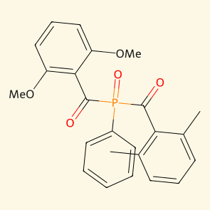 COc1cccc(OC)c1C(=O)P(=O)(C(=O)c1c(C)cccc1C)c1ccccc1